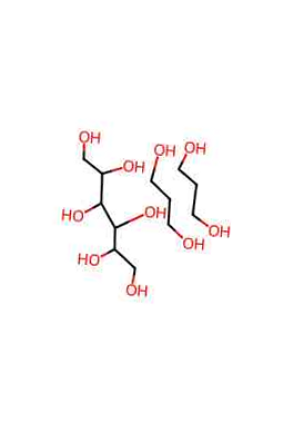 OCC(O)C(O)C(O)C(O)CO.OCCCO.OCCCO